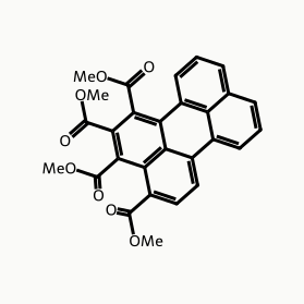 COC(=O)c1c(C(=O)OC)c2c(C(=O)OC)ccc3c4cccc5cccc(c(c1C(=O)OC)c23)c54